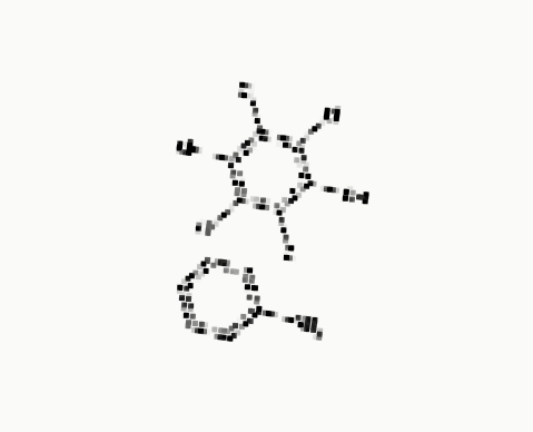 Nc1ccccc1.Oc1c(Cl)c(Cl)c(Cl)c(Cl)c1Cl